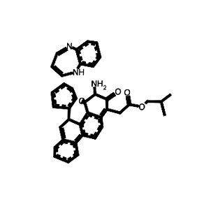 C1=CNc2ccccc2N=C1.CC(C)COC(=O)CC1=c2ccc3c(c2C(=O)C(N)C1=O)C(c1ccccc1)C=c1ccccc1=3